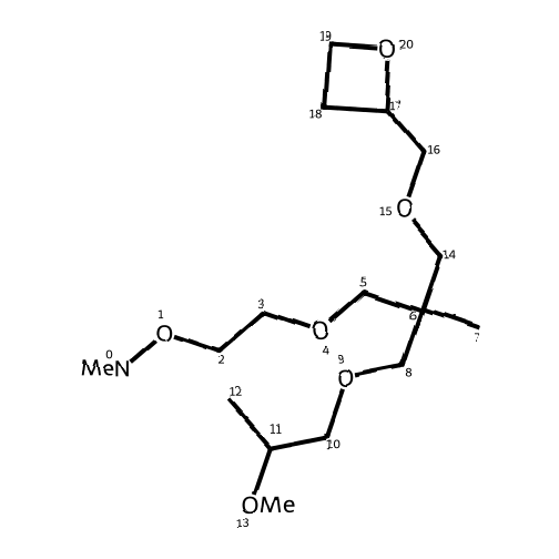 CNOCCOCC(C)(COCC(C)OC)COCC1CCO1